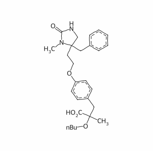 CCCCOC(C)(Cc1ccc(OCCC2(Cc3ccccc3)CNC(=O)N2C)cc1)C(=O)O